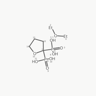 CCOCC.O=P(O)(O)C1(P(=O)(O)O)CCCO1